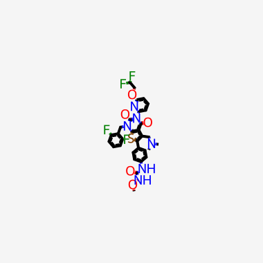 CONC(=O)Nc1ccc(-c2sc3c(c2CN(C)C)c(=O)n(-c2cccc(OCC(F)F)n2)c(=O)n3Cc2c(F)cccc2F)cc1